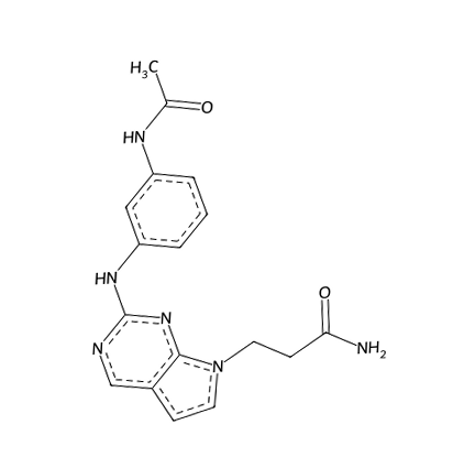 CC(=O)Nc1cccc(Nc2ncc3ccn(CCC(N)=O)c3n2)c1